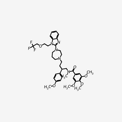 COc1ccc(C(CCN2CCCN(c3nc4ccccc4n3CCOCC(F)(F)F)CC2)CN(C)C(=O)c2cc(OC)c(OC)c(OC)c2)cc1